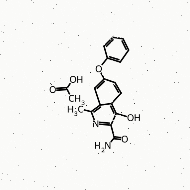 CC(=O)O.Cc1nc(C(N)=O)c(O)c2ccc(Oc3ccccc3)cc12